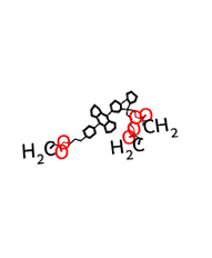 C=CC(=O)OCCCc1ccc(-c2c3ccccc3c(-c3ccc4c(c3)C(CCCOC(=O)C=C)(COC(=O)C=C)c3ccccc3-4)c3ccccc23)cc1